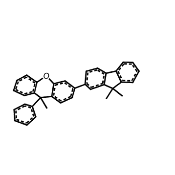 CC1(C)c2ccccc2-c2ccc(-c3ccc4c(c3)Oc3ccccc3C4(C)c3ccccc3)cc21